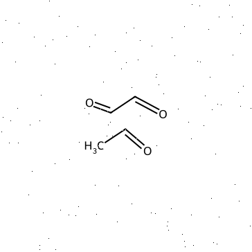 CC=O.O=CC=O